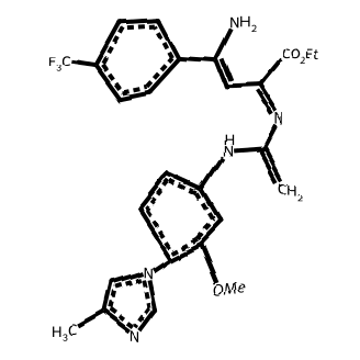 C=C(/N=C(\C=C(/N)c1ccc(C(F)(F)F)cc1)C(=O)OCC)Nc1ccc(-n2cnc(C)c2)c(OC)c1